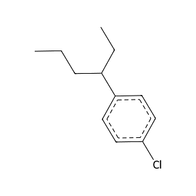 CCCC(CC)c1ccc(Cl)cc1